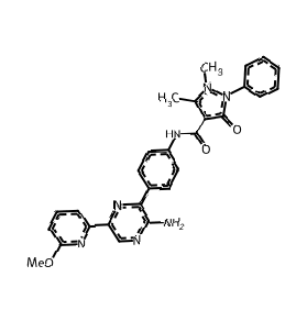 COc1cccc(-c2cnc(N)c(-c3ccc(NC(=O)c4c(C)n(C)n(-c5ccccc5)c4=O)cc3)n2)n1